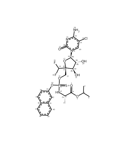 CC(C)OC(=O)[C@H](C)NP(=S)(OC[C@@]1(C(F)F)O[C@@H](n2cc(Cl)c(N)nc2=O)[C@H](O)[C@H]1O)Oc1ccc2ccccc2c1